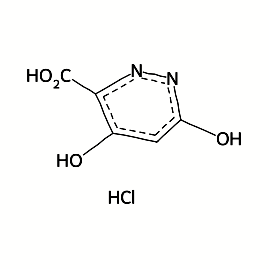 Cl.O=C(O)c1nnc(O)cc1O